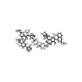 CCc1cccc2cc(O)cc(-c3ncc4c(N5CC6CCC(C5)N6)nc(OC5CCN(CC6CCN(c7cc([C@H](C(=O)N8C[C@H](O)C[C@H]8C(=O)N[C@@H](C)c8ccc(-c9scnc9C)cc8)C(C)C)on7)CC6)CC5)nc4c3F)c12